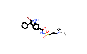 CN(C)C=CCS(=O)(=O)NC(=O)c1ccc2c(C3CCCCC3)c(Br)[nH]c2c1